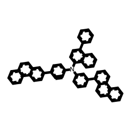 c1c(-c2ccc3c(ccc4ccccc43)c2)ccc(N(c2cccc(-c3cccc4c3ccc3ccccc34)c2)c2ccc(-c3ccccc3)c3ccccc23)c#1